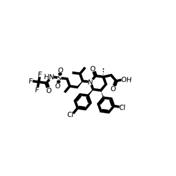 CC(C[C@@H](C(C)C)N1C(=O)[C@@](C)(CC(=O)O)C[C@H](c2cccc(Cl)c2)[C@H]1c1ccc(Cl)cc1)CS(=O)(=O)NC(=O)C(F)(F)F